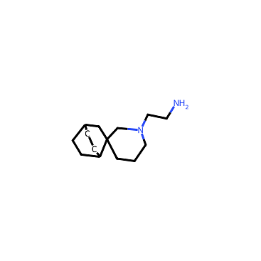 NCCN1CCCC2(CC3CCC2CC3)C1